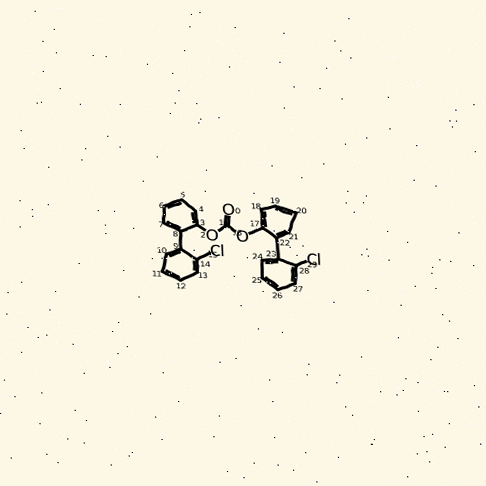 O=C(Oc1ccccc1-c1ccccc1Cl)Oc1ccccc1-c1ccccc1Cl